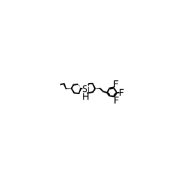 CCC[C@H]1CC[C@H]([Si@H]2CC[C@H](CCc3cc(F)c(F)c(F)c3)CC2)CC1